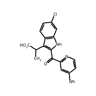 CCCc1ccnc(C(=O)c2[nH]c3cc(Cl)ccc3c2C(C)C(=O)O)c1